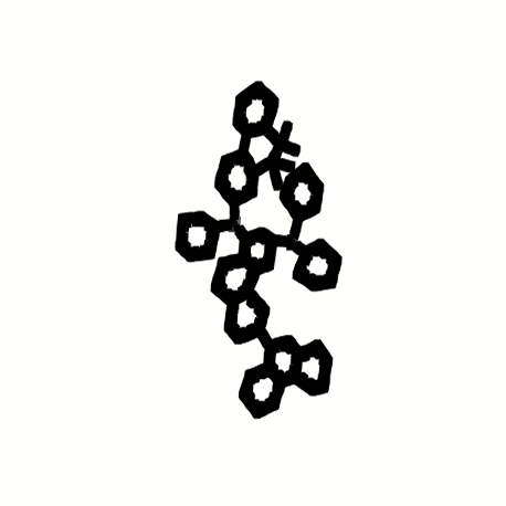 CC1(C)c2ccccc2-c2ccc(N(c3ccccc3)c3cc(N(c4ccccc4)c4ccccc4)cc4c3ccc3ccc(-c5cc6ccccc6c6ccccc56)cc34)cc2C1(C)C